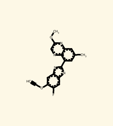 C#COc1cc2sc(-c3cc(C)cc4nc(OC)cnc34)nc2cc1F